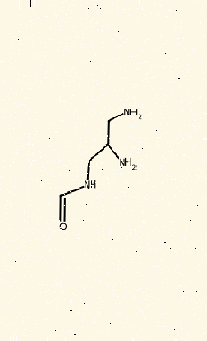 NCC(N)CNC=O